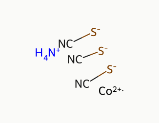 N#C[S-].N#C[S-].N#C[S-].[Co+2].[NH4+]